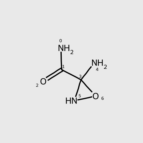 NC(=O)C1(N)NO1